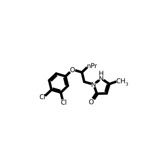 CCCC(Cn1[nH]c(C)cc1=O)Oc1ccc(Cl)c(Cl)c1